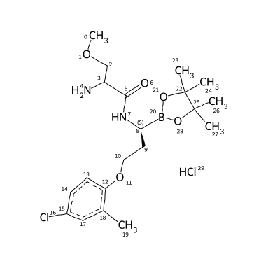 COCC(N)C(=O)N[C@H](CCOc1ccc(Cl)cc1C)B1OC(C)(C)C(C)(C)O1.Cl